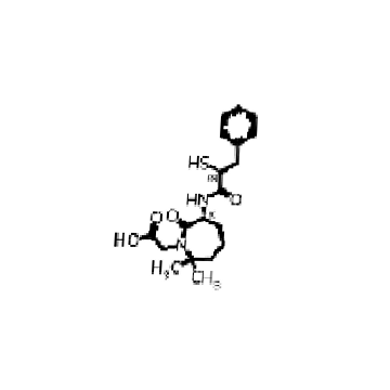 CC1(C)CCC[C@H](NC(=O)[C@@H](S)Cc2ccccc2)C(=O)N1CC(=O)O